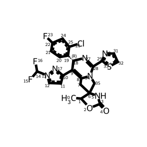 CC1OC(=O)NC12CC1=C(c3ccn(C(F)F)n3)[C@H](c3ccc(F)cc3Cl)N=C(c3nccs3)N1C2